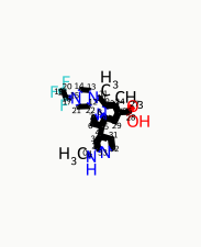 CNc1cc(-c2ccn3c(C(C)N4CCN(C(F)C(F)F)CC4)c(C)c(C(=O)O)cc23)ccn1